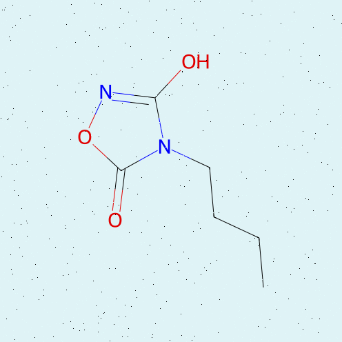 CCCCn1c(O)noc1=O